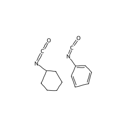 O=C=NC1CCCCC1.O=C=Nc1ccccc1